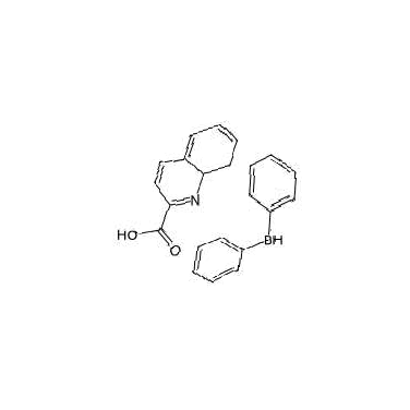 B(c1ccccc1)c1ccccc1.O=C(O)C1=NC2CC=CC=C2C=C1